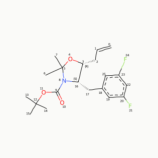 C=CC[C@H]1OC(C)(C)N(C(=O)OC(C)(C)C)[C@H]1Cc1cc(F)cc(F)c1